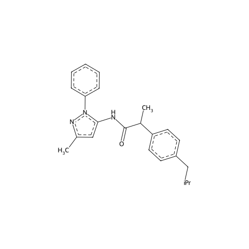 Cc1cc(NC(=O)C(C)c2ccc(CC(C)C)cc2)n(-c2ccccc2)n1